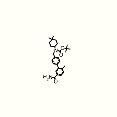 Cc1ccc(C(N)=O)cc1-c1ccc(CN(C(=O)OC(C)(C)C)C2CCC(C)(C)CC2)cc1